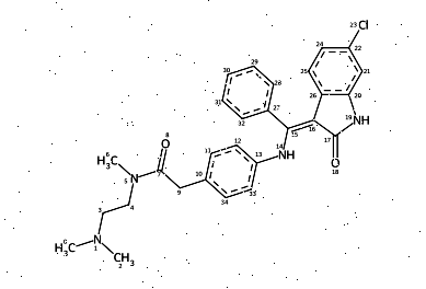 CN(C)CCN(C)C(=O)Cc1ccc(N/C(=C2\C(=O)Nc3cc(Cl)ccc32)c2ccccc2)cc1